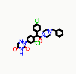 O=C(C(c1ccc(Cl)cc1)c1ccc(-n2ncc(=O)[nH]c2=O)cc1Cl)N1CCN(Cc2ccccc2)CC1